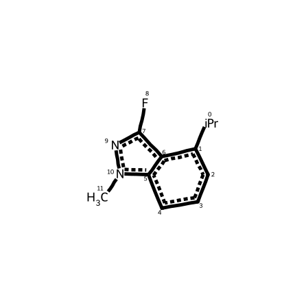 CC(C)c1cccc2c1c(F)nn2C